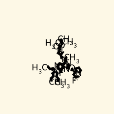 CCC[CH2][Sn]([CH2]CCC)([CH2]CCC)[c]1ncc2c(N(C)CC3CN(C(=O)OC(C)(C)C)C3)nc(OC[C@@]34CCCN3C[C@H](F)C4)nc2c1F